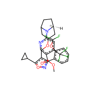 COC(=O)c1cnc(N2C3CC[C@H]2CC(OCc2c(-c4ccccc4OC(F)F)noc2C2CC2)C3)cc1C(F)(F)F